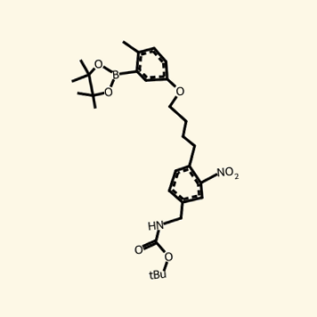 Cc1ccc(OCCCCc2ccc(CNC(=O)OC(C)(C)C)cc2[N+](=O)[O-])cc1B1OC(C)(C)C(C)(C)O1